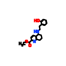 COC(=O)c1ccc2c(n1)CCCC2NCCc1ccccc1O